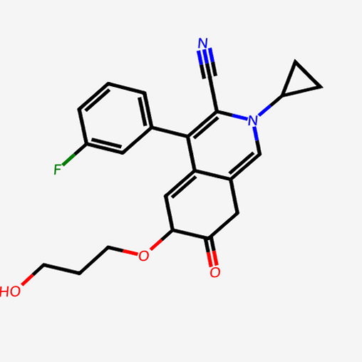 N#CC1=C(c2cccc(F)c2)C2=CC(OCCCO)C(=O)CC2=CN1C1CC1